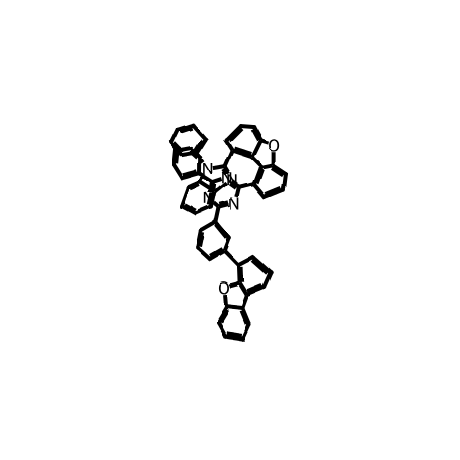 c1ccc(-c2nc(-c3cccc(-c4cccc5c4oc4ccccc45)c3)nc(-c3cccc4oc5cccc(-c6nc7ccccc7n6-c6ccccc6)c5c34)n2)cc1